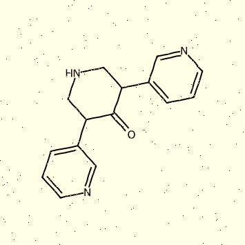 O=C1C(c2cccnc2)CNCC1c1cccnc1